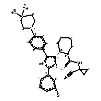 N#CC1(NC(=O)[C@@H]2CCCC[C@H]2c2oc(-c3cccc(F)c3)nc2-c2ccc(N3CCS(O)(O)CC3)cc2)CC1